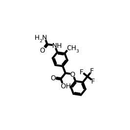 Cc1cc(C(Oc2ccccc2C(F)(F)F)C(=O)O)ccc1NC(N)=O